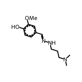 COc1cc(C=NNCCCN(C)C)ccc1O